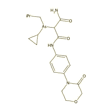 CC(C)C[As](C1CC1)C(C(N)=O)C(=O)Nc1ccc(N2CCOCC2=O)cc1